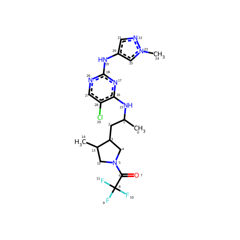 CC(CC1CN(C(=O)C(F)(F)F)CC1C)Nc1nc(Nc2cnn(C)c2)ncc1Cl